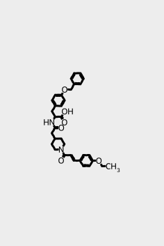 CCOc1ccc(/C=C/C(=O)N2CCC(CC(=O)NC(Cc3ccc(OCc4ccccc4)cc3)C(=O)O)CC2)cc1